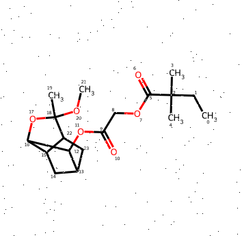 CCC(C)(C)C(=O)OCC(=O)OC1C2CC3C1OC(C)(OC)C3C2